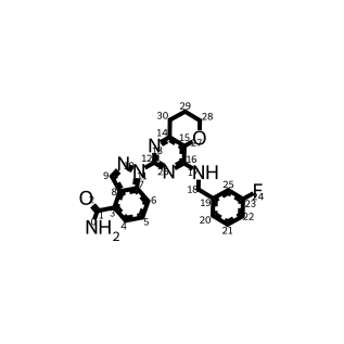 NC(=O)c1cccc2c1cnn2-c1nc2c(c(NCc3cccc(F)c3)n1)OCCC2